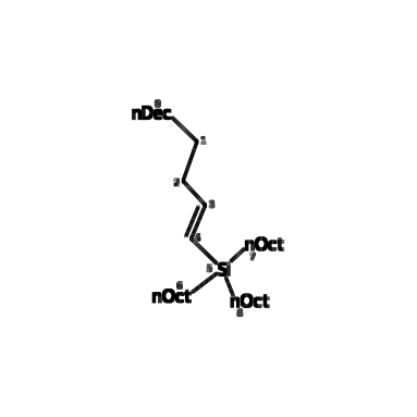 CCCCCCCCCCCCC=C[Si](CCCCCCCC)(CCCCCCCC)CCCCCCCC